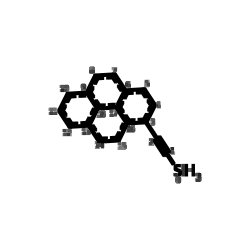 [SiH3]C#Cc1ccc2ccc3cccc4ccc1c2c34